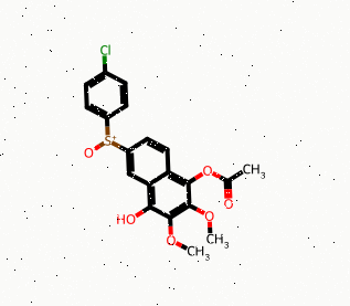 COc1c(OC)c(OC(C)=O)c2ccc([S+]([O-])c3ccc(Cl)cc3)cc2c1O